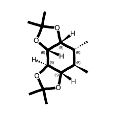 C[C@@H]1[C@@H](C)[C@@H]2OC(C)(C)O[C@H]2[C@@H]2OC(C)(C)O[C@H]12